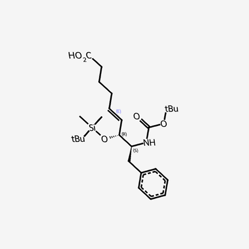 CC(C)(C)OC(=O)N[C@@H](Cc1ccccc1)[C@@H](/C=C/CCCC(=O)O)O[Si](C)(C)C(C)(C)C